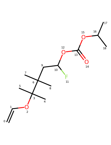 C=COC(C)(C)C(C)(C)CC(F)OC(=O)OC(C)C